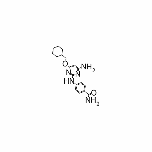 NC(=O)c1ccc(Nc2nc(N)cc(OCC3CCCCC3)n2)cc1